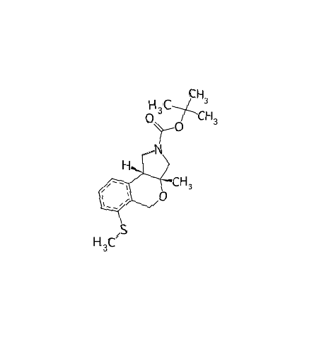 CSc1cccc2c1CO[C@@]1(C)CN(C(=O)OC(C)(C)C)C[C@@H]21